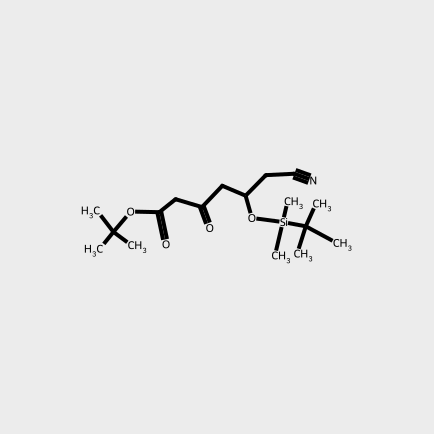 CC(C)(C)OC(=O)CC(=O)CC(CC#N)O[Si](C)(C)C(C)(C)C